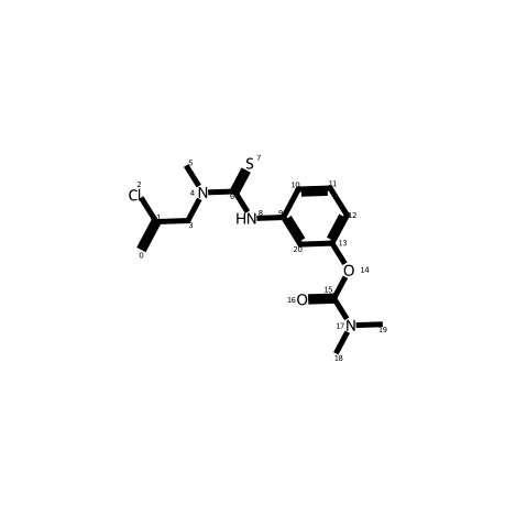 C=C(Cl)CN(C)C(=S)Nc1cccc(OC(=O)N(C)C)c1